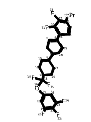 CCCc1ccc(C2=CCC(C3CCC(C(F)(F)Oc4cc(F)c(F)c(F)c4)CC3)CC2)c(F)c1F